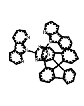 c1ccc2c(c1)-c1ccccc1C21c2ccccc2-c2cccc(-c3nc(-n4c5ccccc5c5cccnc54)nc(-n4c5ncccc5c5cccnc54)n3)c21